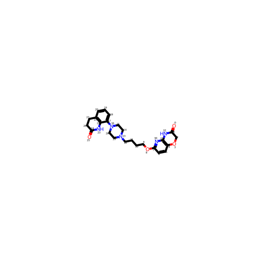 O=C1COc2ccc(OCCCCN3CCN(c4cccc5c4NC(=O)CC5)CC3)nc2N1